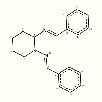 C(=NC1CCCCC1N=Cc1ccccc1)c1ccccc1